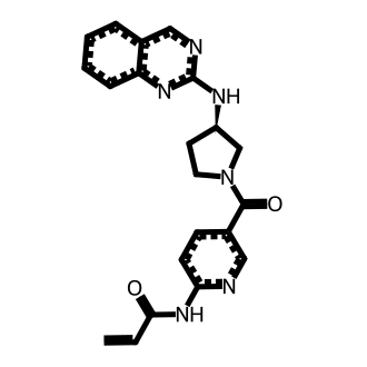 C=CC(=O)Nc1ccc(C(=O)N2CC[C@@H](Nc3ncc4ccccc4n3)C2)cn1